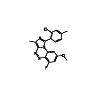 COc1cc(F)c2nnc3c(C)nc(-c4ccc(C)cc4Cl)n3c2c1